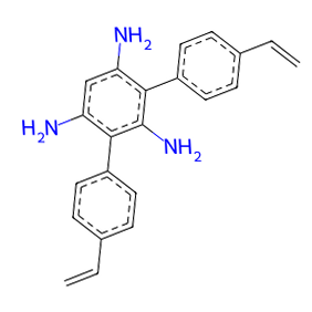 C=Cc1ccc(-c2c(N)cc(N)c(-c3ccc(C=C)cc3)c2N)cc1